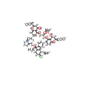 CN1CCC[C@@H]1CCO[C@](C)(c1ccccc1)c1ccc(Cl)cc1.O=C([O-])c1cc(=O)c2c(OCC(O)COc3cccc4oc(C(=O)[O-])cc(=O)c34)cccc2o1.[Na+].[Na+]